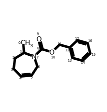 CC1CCC=CCN1C(=O)OCc1ccccc1